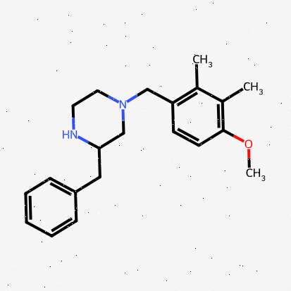 COc1ccc(CN2CCNC(Cc3ccccc3)C2)c(C)c1C